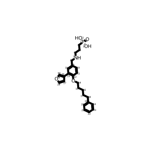 O=P(O)(O)CCCNCc1ccc(OCCCCCc2ccccc2)c(-c2ccoc2)c1